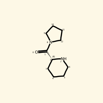 O=C([C@H]1CCCCN1)N1CCCC1